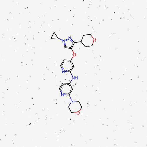 c1cc(Oc2cn(C3CC3)nc2C2CCOCC2)cc(Nc2ccnc(N3CCOCC3)c2)n1